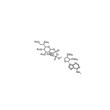 CO[C@@H]1[C@H](OC)[C@@H](COP(O)(=S)OP(=O)(O)OC2OC([C@@H](COC(C)=O)OC(C)=O)C(OC(C)=O)C(OC(C)=O)C2OC(C)=O)O[C@H]1n1cnc2c(N)ncnc21